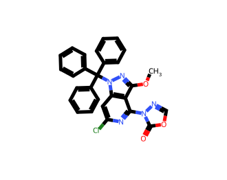 COc1nn(C(c2ccccc2)(c2ccccc2)c2ccccc2)c2cc(Cl)nc(-n3ncoc3=O)c12